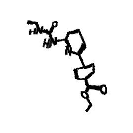 CCNC(=O)Nc1cccc(-c2ccc(C(=O)OCC)cc2)n1